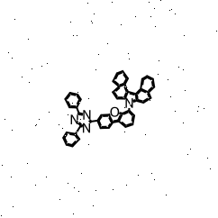 c1ccc(-c2nc(-c3ccccc3)nc(-c3ccc4c(c3)oc3c(-n5c6ccc7ccccc7c6c6c7ccccc7ccc65)cccc34)n2)cc1